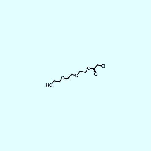 O=C(CCl)OCCOCCOCCO